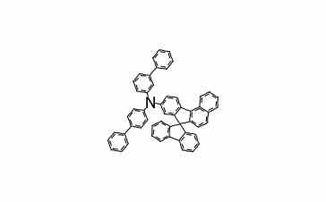 c1ccc(-c2ccc(N(c3cccc(-c4ccccc4)c3)c3ccc4c(c3)C3(c5ccccc5-c5ccccc53)c3ccc5ccccc5c3-4)cc2)cc1